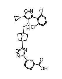 O=C(O)c1cccc(-c2noc(C34CCC(CNc5c(-c6c(Cl)cccc6Cl)noc5C5CC5)(CC3)CC4)n2)c1